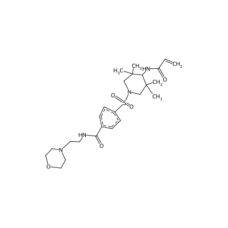 C=CC(=O)NC1C(C)(C)CN(S(=O)(=O)c2ccc(C(=O)NCCN3CCOCC3)cc2)CC1(C)C